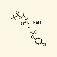 CC(OC(=O)NCCCC(=O)Oc1ccc(Cl)cc1)OC(=O)C(C)(C)C.[NaH]